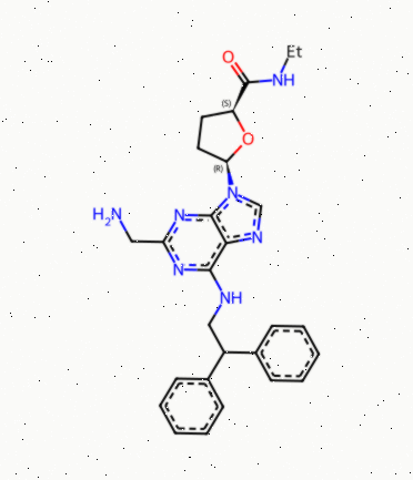 CCNC(=O)[C@@H]1CC[C@H](n2cnc3c(NCC(c4ccccc4)c4ccccc4)nc(CN)nc32)O1